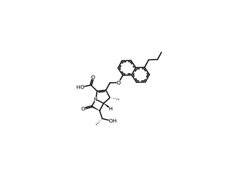 CCCc1cccc2c(OCC3=C(C(=O)O)N4C(=O)[C@H]([C@@H](C)O)[C@H]4[C@H]3C)cccc12